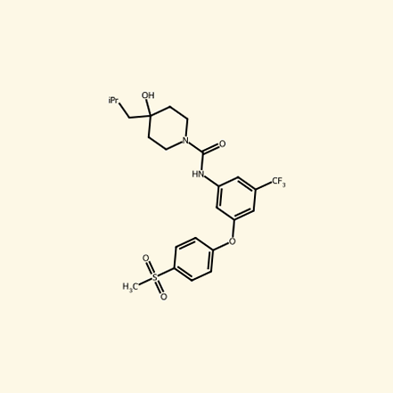 CC(C)CC1(O)CCN(C(=O)Nc2cc(Oc3ccc(S(C)(=O)=O)cc3)cc(C(F)(F)F)c2)CC1